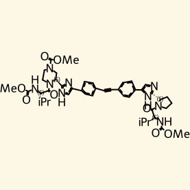 COC(=O)N[C@H](C(=O)N1CCN(C(=O)OC)C[C@H]1c1nc(-c2ccc(C#Cc3ccc(-c4cnc([C@@H]5CCCN5C(=O)[C@@H](NC(=O)OC)C(C)C)[nH]4)cc3)cc2)c[nH]1)C(C)C